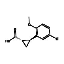 COc1ccc(Cl)cc1[C@H]1C[C@@H]1C(=O)O